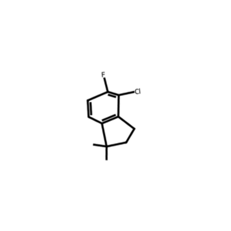 CC1(C)CCc2c1ccc(F)c2Cl